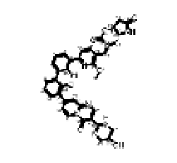 COc1nc(-c2cccc(-c3cccc(-c4ccn5c(=O)c(C6=NCC(O)CN6)cnc5c4)c3Cl)c2Cl)ccc1CN(C[C@@H]1CCC(=O)N1)C(=O)O